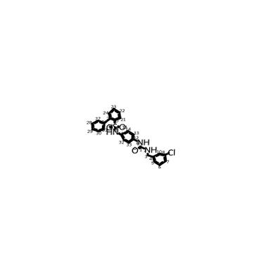 O=C(NCc1cccc(Cl)c1)Nc1ccc(NS(=O)(=O)c2ccccc2-c2ccccc2)cc1